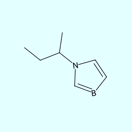 CCC(C)n1cbcc1